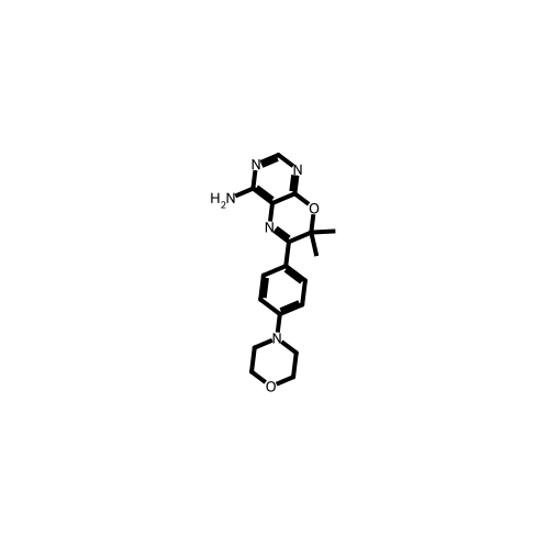 CC1(C)Oc2ncnc(N)c2N=C1c1ccc(N2CCOCC2)cc1